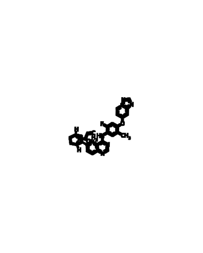 C=CC(=O)N1[C@@H]2CC[C@H]1[C@H](c1ccc3ncnc(Nc4cc(C)c(Oc5ccn6ncnc6c5)cc4F)c3n1)C2